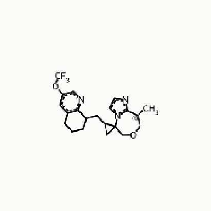 C[C@H]1COCC2(CC2CC2CCCc3cc(OC(F)(F)F)cnc32)n2ccnc21